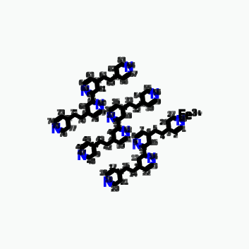 [Fe+3].c1cc(CCc2ccnc(-c3cc(CCc4ccncc4)ccn3)c2)ccn1.c1cc(CCc2ccnc(-c3cc(CCc4ccncc4)ccn3)c2)ccn1.c1cc(CCc2ccnc(-c3cc(CCc4ccncc4)ccn3)c2)ccn1